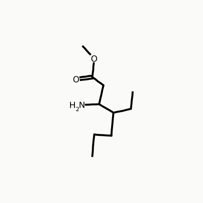 CCCC(CC)C(N)CC(=O)OC